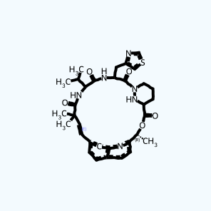 CC(C)C1NC(=O)C(C)(C)/C=C/c2ccc3ccc(nc3c2)[C@@H](C)OC(=O)C2CCCN(N2)C(=O)C(Cc2cscn2)NC1=O